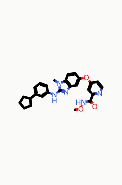 CONC(=O)c1cc(Oc2ccc3c(c2)nc(Nc2cccc(C4CCCC4)c2)n3C)ccn1